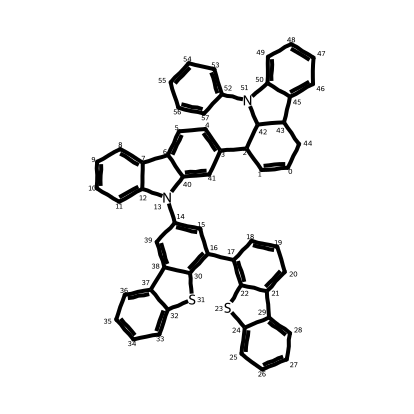 C1=CC(c2ccc3c4ccccc4n(-c4cc(-c5cccc6c5sc5ccccc56)c5sc6ccccc6c5c4)c3c2)C2C(C1)c1ccccc1N2c1ccccc1